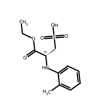 CCOC(=O)[C@H](CS(=O)(=O)O)Nc1ccccc1C